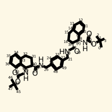 CC(C)(C)OC(=O)N[C@H]1c2ccccc2CC[C@H]1C(=O)NCc1ccc(CNC(=O)[C@@H]2CCc3ccccc3[C@@H]2NC(=O)OC(C)(C)C)cc1